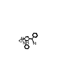 CO/N=C1C=C/C(=C(/C#N)c2ccccc2)C=C/1Nc1ccccc1